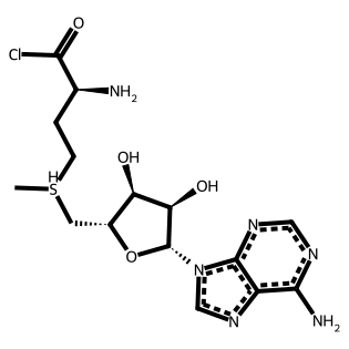 C[SH](CC[C@H](N)C(=O)Cl)C[C@H]1O[C@@H](n2cnc3c(N)ncnc32)[C@H](O)[C@@H]1O